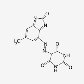 Cc1cc(N=NC2C(=O)NC(=O)NC2=O)c2c(c1)=NC(=O)N=2